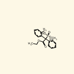 CCOC(=O)C(c1ccccc1C)(c1ccccc1C)P(=O)(O)O